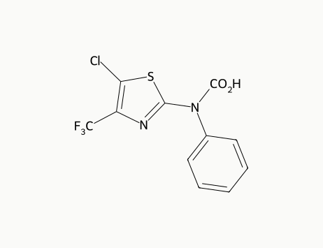 O=C(O)N(c1ccccc1)c1nc(C(F)(F)F)c(Cl)s1